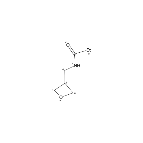 CCC(=O)NCC1COC1